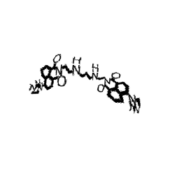 O=C1c2cccc3c(-n4ccnn4)ccc(c23)C(=O)N1CCNCCCNCCN1C(=O)c2cccc3c(-n4ccnn4)ccc(c23)C1=O